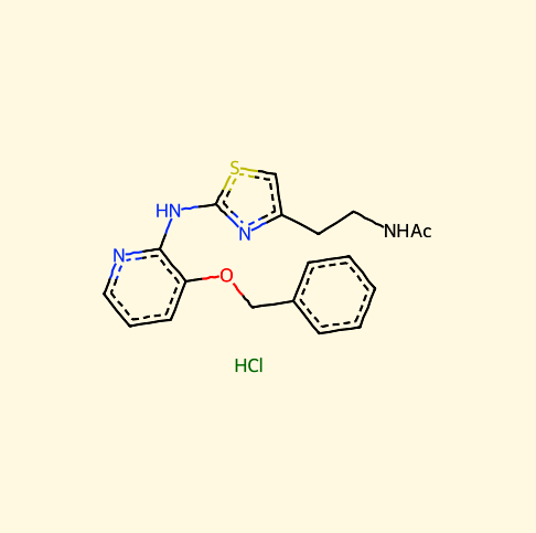 CC(=O)NCCc1csc(Nc2ncccc2OCc2ccccc2)n1.Cl